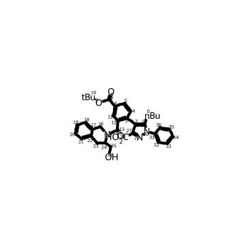 CCCCc1c(-c2ccc(C(=O)OC(C)(C)C)cc2C(=O)N2Cc3ccccc3CC2CO)c(C(=O)O)nn1-c1ccccc1